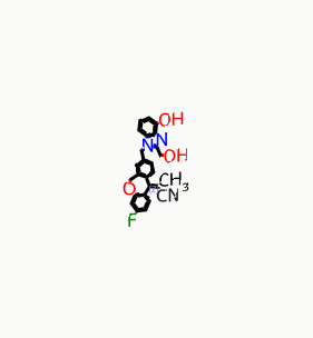 C/C(C#N)=C1\c2ccc(Cn3c(CO)nc4c(O)cccc43)cc2COc2cc(F)ccc21